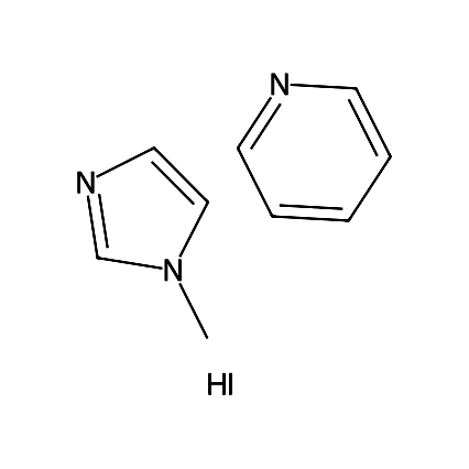 Cn1ccnc1.I.c1ccncc1